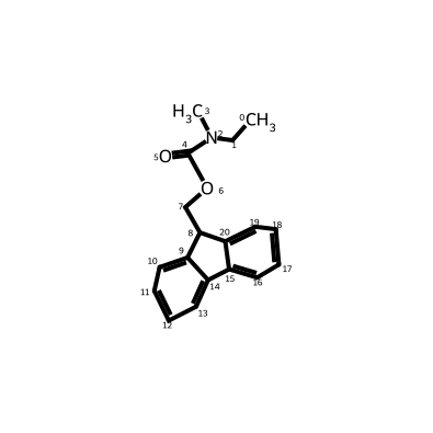 CCN(C)C(=O)OCC1c2ccccc2-c2ccccc21